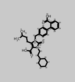 CC(C)CCc1c(C(=O)O)n(CCC2CCCCC2)c(=O)n1Cc1ccc(-c2ccccc2C(=O)O)cc1